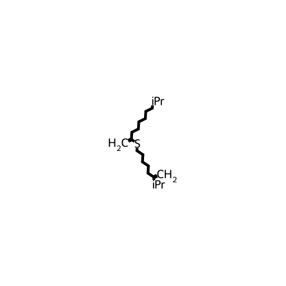 C=C(CCCCCCC(C)C)SCCCCCC(=C)C(C)C